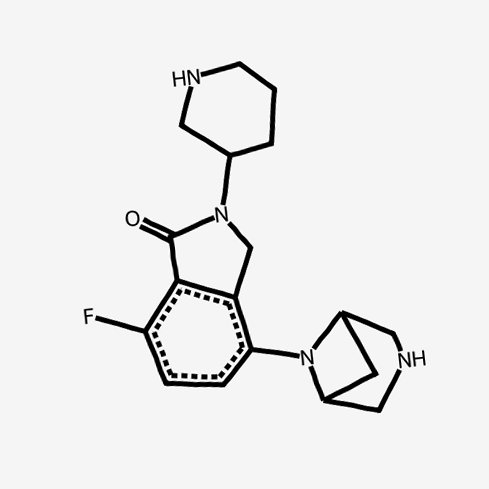 O=C1c2c(F)ccc(N3C4CNCC3C4)c2CN1C1CCCNC1